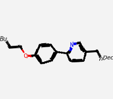 CCCCCCCCCCCc1ccc(-c2ccc(OCCC(C)CC)cc2)nc1